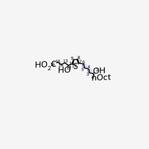 CCCCCCCCC(O)/C=C/C=C/c1ccc(C(O)CCCC(=O)O)s1